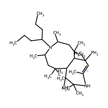 CCCC(CCC)N1C(C)CC(C)(C)C2C(C(C)(C)CC1C)C(C)(C)C(C)(C)N/C(C)=C/C2(C)P